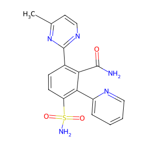 Cc1ccnc(-c2ccc(S(N)(=O)=O)c(-c3ccccn3)c2C(N)=O)n1